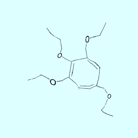 CCOc1[c]c(OCC)c(OCC)c(OCC)c1